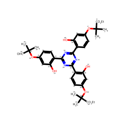 CCOC(=O)C(C)(C)Oc1ccc(-c2nc(-c3ccc(OC(C)(C)C=O)cc3O)nc(-c3ccc(OC(C)(C)C(=O)OCC)cc3O)n2)c(O)c1